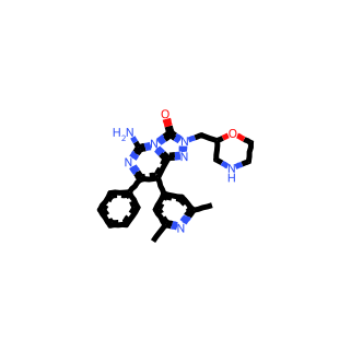 Cc1cc(-c2c(-c3ccccc3)nc(N)n3c(=O)n(CC4CNCCO4)nc23)cc(C)n1